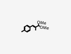 COC(OC)/C(C)=C/c1ccc(C)cc1